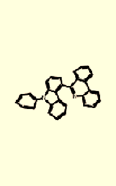 c1ccc(-n2c3ccccc3c3c(-c4nc5ccccc5c5ccccc45)cccc32)cc1